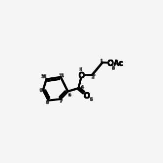 CC(=O)OC[CH]OC(=O)c1ccccc1